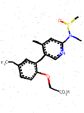 Cc1cc(N(C)[S+](C)[O-])ncc1-c1cc(C(F)(F)F)ccc1OCC(=O)O